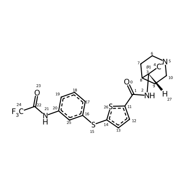 O=C(N[C@H]1CN2CCC1CC2)c1ccc(Sc2cccc(NC(=O)C(F)(F)F)c2)s1